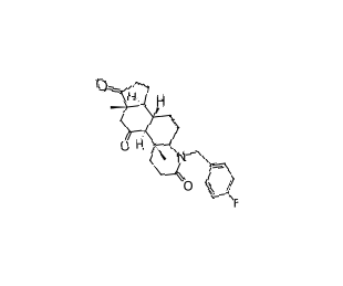 C[C@]12CCC(=O)N(Cc3ccc(F)cc3)C1CC[C@@H]1[C@@H]2C(=O)C[C@]2(C)C(=O)CC[C@@H]12